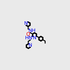 CCc1ccc(-c2ccc(C(=O)NCc3cccnc3)c(NCCc3ccccn3)n2)cc1